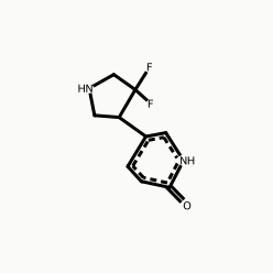 O=c1ccc(C2CNCC2(F)F)c[nH]1